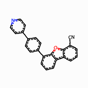 N#Cc1cccc2c1oc1c(-c3ccc(-c4ccncc4)cc3)cccc12